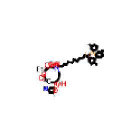 CC[C@H]1OC(=O)[C@H](C)CC[C@@H](O[C@H]2C[C@@H](N(C)C)C[C@@H](C)O2)[C@](C)(O)C[C@@H](C)CN(C(=O)CCCCCCCCCCCC[PH](c2cccc(C)c2)(c2cccc(C)c2)c2cccc(C)c2)[C@H](C)[C@@H](O)[C@]1(C)O